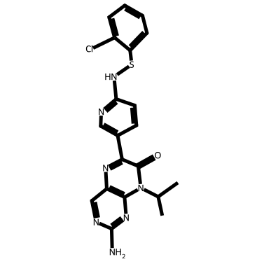 CC(C)n1c(=O)c(-c2ccc(NSc3ccccc3Cl)nc2)nc2cnc(N)nc21